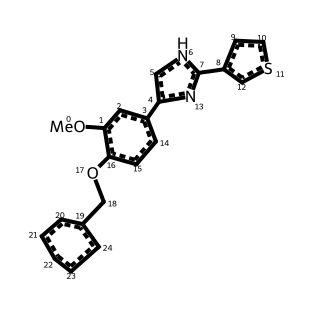 COc1cc(-c2c[nH]c(-c3ccsc3)n2)ccc1OCc1ccccc1